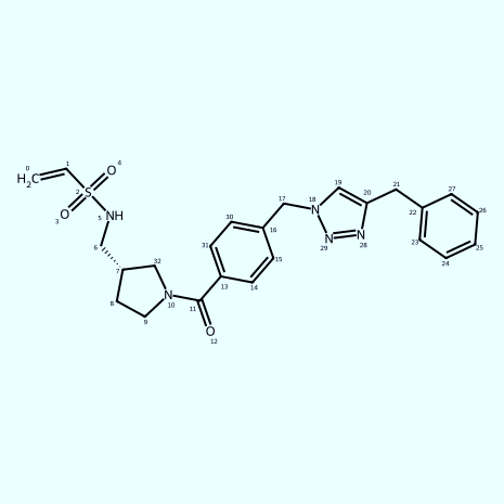 C=CS(=O)(=O)NC[C@H]1CCN(C(=O)c2ccc(Cn3cc(Cc4ccccc4)nn3)cc2)C1